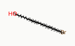 OCCCCCCCCCCCCCCCCCCCCCCCCCCCCCCCCCBr